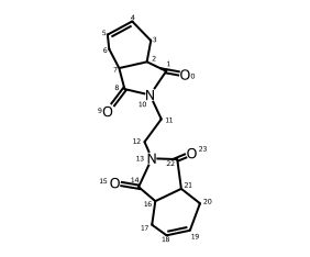 O=C1C2CC=CCC2C(=O)N1CCN1C(=O)C2CC=CCC2C1=O